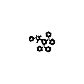 Cc1nn(-c2ccccc2)c(C)c1-c1cc(N(c2ccccc2)c2ccccc2)cc(N(c2ccccc2)c2ccccc2)c1